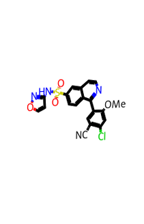 COc1cc(Cl)c(C#N)cc1-c1nccc2cc(S(=O)(=O)Nc3ccon3)ccc12